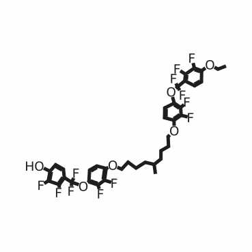 CCOc1ccc(C(F)(F)Oc2ccc(OCCCCC(C)CCCCOc3ccc(OC(F)(F)c4ccc(O)c(F)c4F)c(F)c3F)c(F)c2F)c(F)c1F